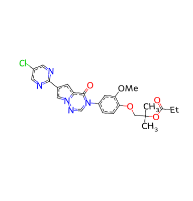 CCC(=O)OC(C)(C)COc1ccc(-n2cnn3cc(-c4ncc(Cl)cn4)cc3c2=O)cc1OC